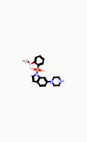 COc1ccccc1S(=O)(=O)n1ccc2ccc(N3CCNCC3)cc21